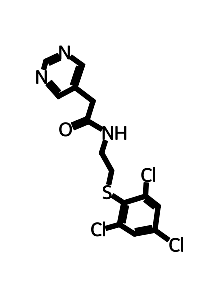 O=C(Cc1cncnc1)NCCSc1c(Cl)cc(Cl)cc1Cl